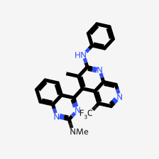 CNc1nc(-c2c(C)c(Nc3ccccc3)nc3cncc(C(F)(F)F)c23)c2ccccc2n1